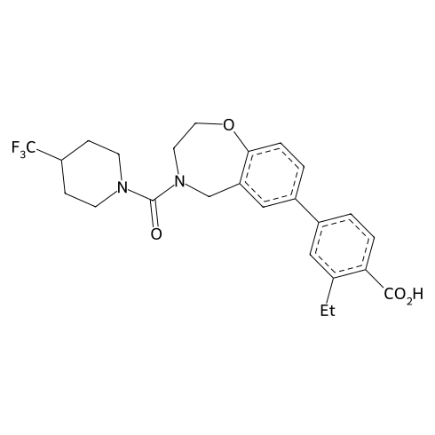 CCc1cc(-c2ccc3c(c2)CN(C(=O)N2CCC(C(F)(F)F)CC2)CCO3)ccc1C(=O)O